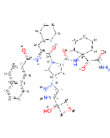 NC(=O)C(=O)C1(NC(=O)[C@@H]2C[C@H](n3cc(C4(O)COC4)nn3)CN2C(=O)/C(CC2CCCCC2)=N/C(=O)c2ccc3ccccc3c2)CCCCC1